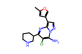 Cc1cc(-c2cnn3c(N)c(Cl)c(C4CCCNC4)nc23)co1